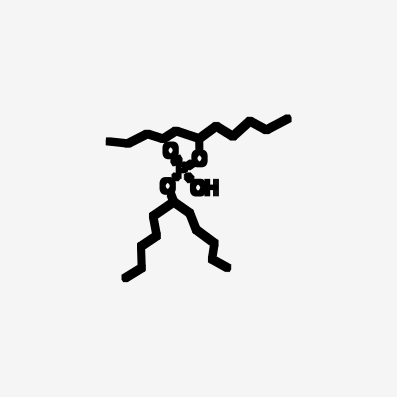 CCCCCC(CCCCC)OP(=O)(O)OC(CCCCC)CCCCC